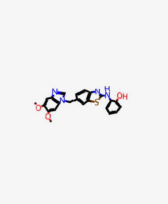 COc1cc2ncn(Cc3ccc4nc(Nc5ccccc5O)sc4c3)c2cc1OC